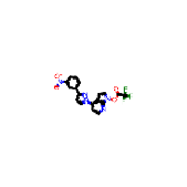 O=C(On1ccc2c(-n3ccc(-c4cccc([N+](=O)[O-])c4)n3)ccnc21)C(F)(F)F